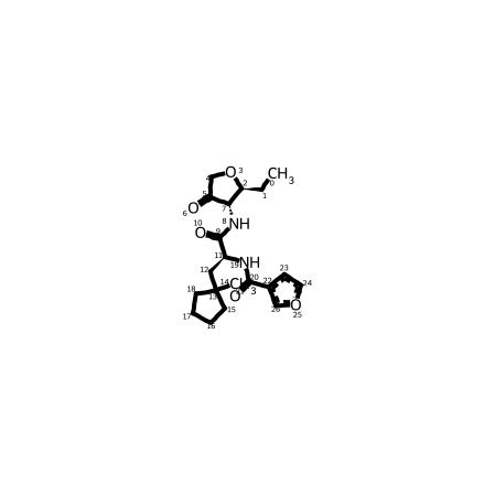 CC[C@@H]1OCC(=O)[C@H]1NC(=O)[C@H](CC1(C)CCCC1)NC(=O)c1ccoc1